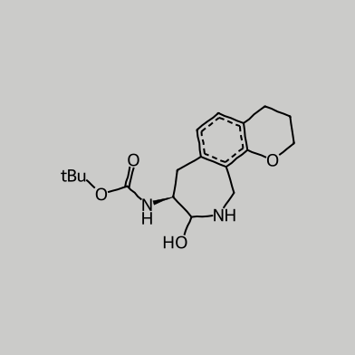 CC(C)(C)OC(=O)N[C@H]1Cc2ccc3c(c2CNC1O)OCCC3